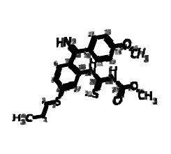 CCCSc1ccc(C(=N)c2ccc(OC)cc2)c(NC(=S)NC(=O)OC)c1